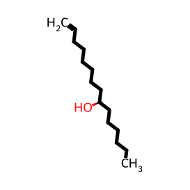 C=CCCCCCC[C@H](O)CCCCCC